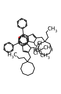 CCCC1(CC2=Cc3c(-c4ccccc4)cccc3[CH]2[Zr]([Cl])([Cl])([CH]2C(CC3(CCC)CCCCCCC3)=Cc3c(-c4ccccc4)cccc32)[SiH](C)C)CCCCCCC1